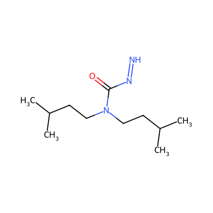 CC(C)CCN(CCC(C)C)C(=O)N=N